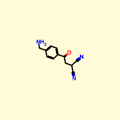 N#CC(C#N)CC(=O)c1ccc(CN)cc1